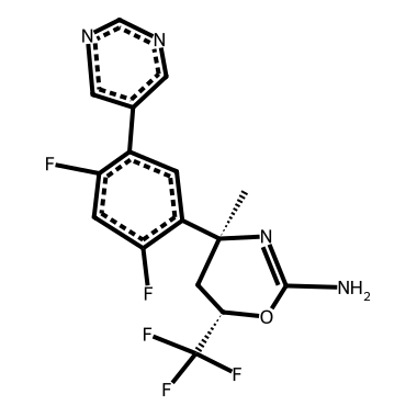 C[C@@]1(c2cc(-c3cncnc3)c(F)cc2F)C[C@@H](C(F)(F)F)OC(N)=N1